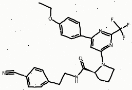 CCOc1ccc(-c2cc(N3CCC[C@H]3C(=O)NCCc3ccc(C#N)cc3)nc(C(F)(F)F)n2)cc1